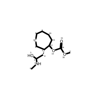 CNC(O)C[C@@H]1CCCCCCC1OC(=O)OC